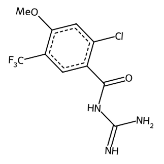 COc1cc(Cl)c(C(=O)NC(=N)N)cc1C(F)(F)F